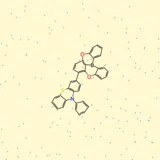 c1ccc(N2c3ccccc3Sc3cc(-c4ccc5c6c4Oc4ccccc4B6c4ccccc4O5)ccc32)cc1